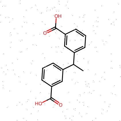 CC(c1cccc(C(=O)O)c1)c1cccc(C(=O)O)c1